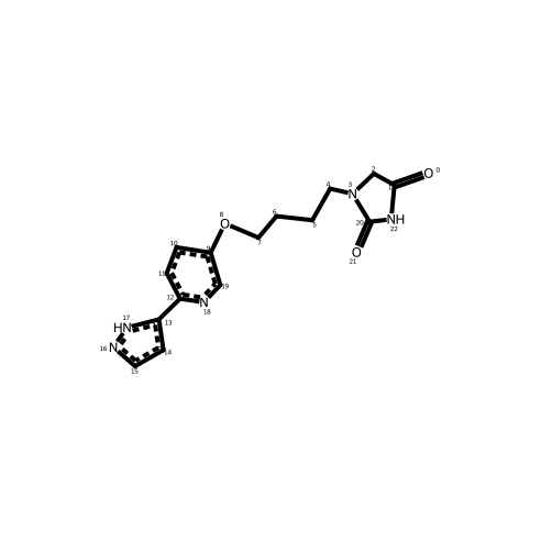 O=C1CN(CCCCOc2ccc(-c3ccn[nH]3)nc2)C(=O)N1